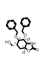 O=C1N[C@@H]2[C@@H](OCc3ccccc3)[C@H](OCc3ccccc3)[C@@H](CO)C[C@@H]2O1